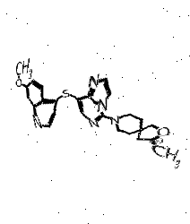 COc1ccc2c(Sc3cnc(N4CCC5(CC4)CO[C@@H](C)C5)n4ccnc34)ccnc2c1